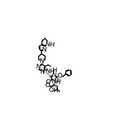 CCc1c(NC[C@H](NC(=O)OCc2ccccc2)C(=O)N[C@@H](CC(C)C)C(=O)O)ncnc1N1CCC(c2ccc3c(n2)NCCC3)CC1